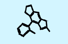 CC1=Cc2c(cc3c(c2-c2ccccc2C)CCC3)[CH]1